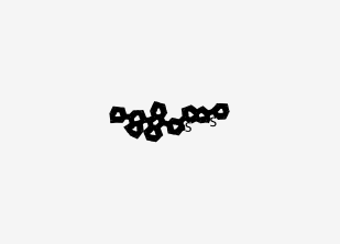 c1ccc(-c2ccc(-c3c4ccccc4c(-c4ccc5sc6c7cc8sc9ccccc9c8cc7ccc6c5c4)c4ccccc34)c3ccccc23)cc1